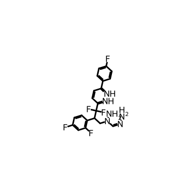 N=C(/C=C\C(=N)C(F)(F)C(CN(N)/C=N\N)c1ccc(F)cc1F)c1ccc(F)cc1